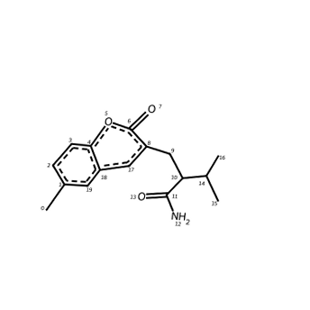 Cc1ccc2oc(=O)c(CC(C(N)=O)C(C)C)cc2c1